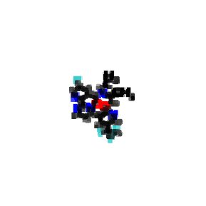 CCN(C(=O)c1cc(F)cnc1-c1ncccn1)[C@@H](C)COc1ccc(C(F)(F)F)cn1